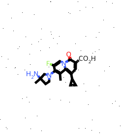 Cc1c(N2CCC(C)(N)C2)c(F)cn2c(=O)c(C(=O)O)cc(C3CC3)c12